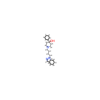 OC1(c2ccccc2)CCN(CCCCn2ncc3ccccc32)CC1